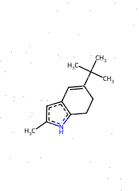 Cc1cc2c([nH]1)CCC(C(C)(C)C)=C2